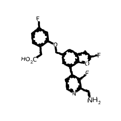 NCc1nccc(-c2cc(COc3cc(F)ccc3CC(=O)O)cc3cc(F)oc23)c1F